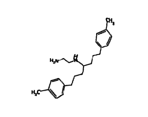 Cc1ccc(CCCC(CCCc2ccc(C)cc2)NCCN)cc1